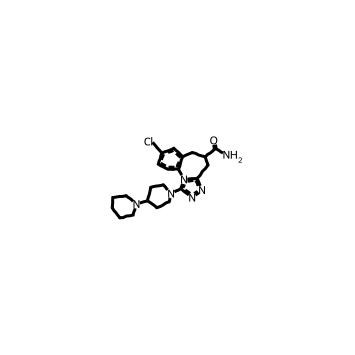 NC(=O)C1Cc2cc(Cl)ccc2-n2c(nnc2N2CCC(N3CCCCC3)CC2)C1